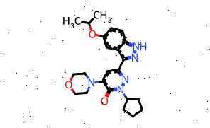 CC(C)Oc1ccc2[nH]nc(-c3cc(N4CCOCC4)c(=O)n(C4CCCC4)n3)c2c1